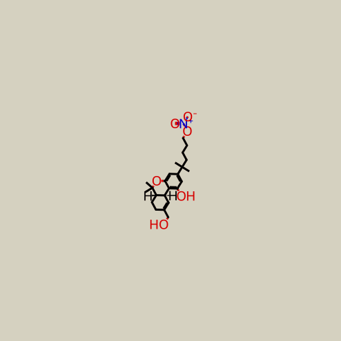 CC(C)(CCCCO[N+](=O)[O-])c1cc(O)c2c(c1)OC(C)(C)[C@H]1CCC(CO)=C[C@H]21